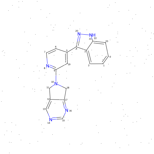 c1ccc2c(-c3ccnc(N4Cc5cncnc5C4)c3)n[nH]c2c1